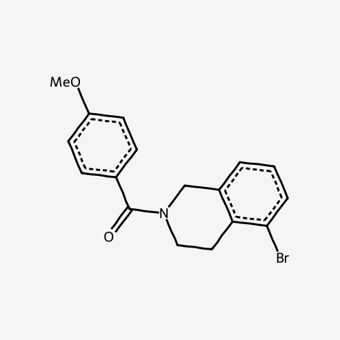 COc1ccc(C(=O)N2CCc3c(Br)cccc3C2)cc1